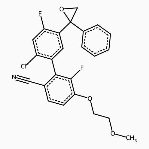 COCCOc1ccc(C#N)c(-c2cc(C3(c4ccccc4)CO3)c(F)cc2Cl)c1F